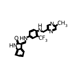 Cc1cnc(CNc2ccc(NC=C3C(=O)Nc4ccccc43)cc2C(F)(F)F)cn1